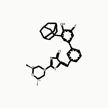 C[C@H]1CN(C2=NC(=O)C(=Cc3cccc(-c4cc(F)c(O)c(C56CC7CC(CC(C7)C5)C6)c4)c3)S2)C[C@H](C)O1